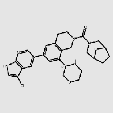 O=C(N1CCc2cc(-c3cnc4[nH]cc(Cl)c4c3)cc([C@@H]3COCCN3)c2C1)N1CC2CCC(C1)O2